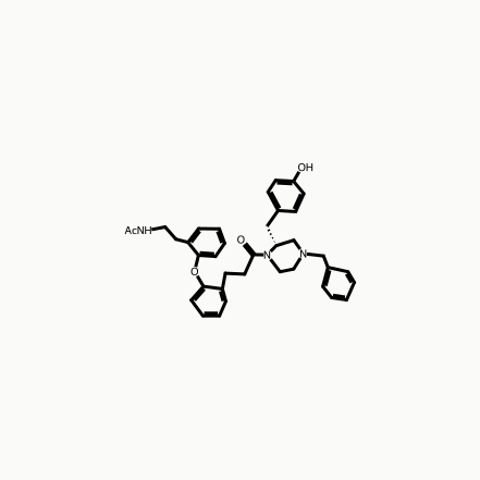 CC(=O)NCCc1ccccc1Oc1ccccc1CCC(=O)N1CCN(Cc2ccccc2)C[C@H]1Cc1ccc(O)cc1